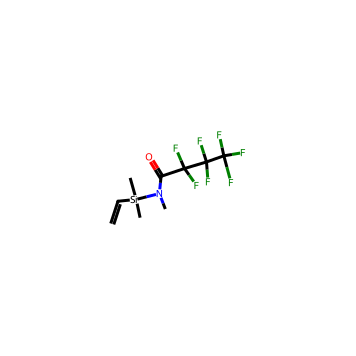 C=C[Si](C)(C)N(C)C(=O)C(F)(F)C(F)(F)C(F)(F)F